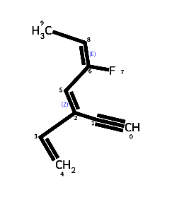 C#C/C(C=C)=C\C(F)=C/C